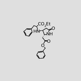 CCOC(=O)[C@H](Cc1ccccc1)N[C@H]1CC(=O)N[C@@H]1CC(=O)OCc1ccccc1